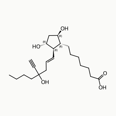 C#CC(O)(CC=C[C@@H]1[C@@H](CCCCCCC(=O)O)[C@H](O)C[C@H]1O)CCCC